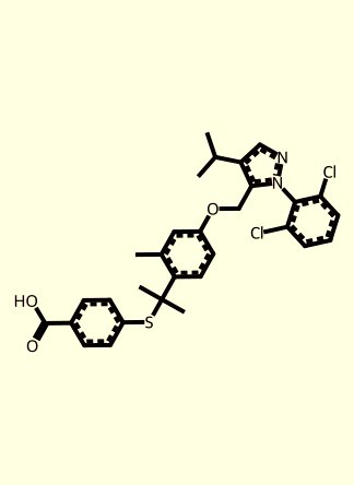 Cc1cc(OCc2c(C(C)C)cnn2-c2c(Cl)cccc2Cl)ccc1C(C)(C)Sc1ccc(C(=O)O)cc1